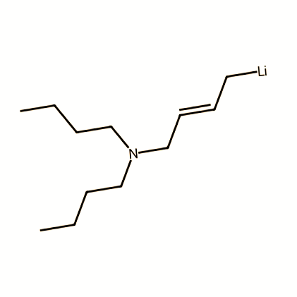 [Li][CH2]/C=C/CN(CCCC)CCCC